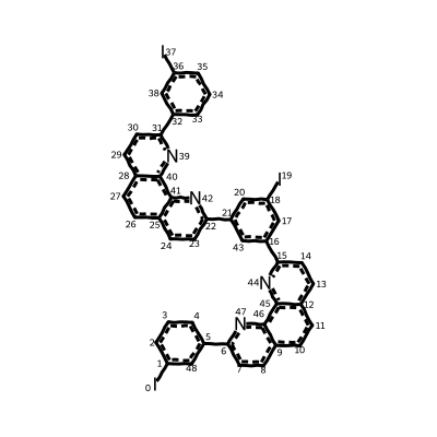 Ic1cccc(-c2ccc3ccc4ccc(-c5cc(I)cc(-c6ccc7ccc8ccc(-c9cccc(I)c9)nc8c7n6)c5)nc4c3n2)c1